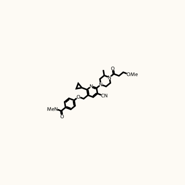 CNC(=O)c1ccc(OCc2cc(C#N)c(N3CCN(C(=O)CCOC)C(C)C3)nc2C2CC2)cc1